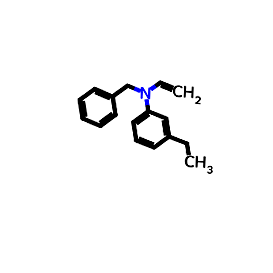 C=CN(Cc1ccccc1)c1cccc(CC)c1